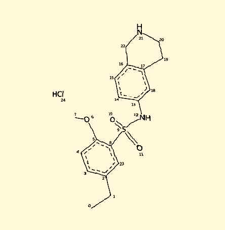 CCc1ccc(OC)c(S(=O)(=O)Nc2ccc3c(c2)CCNC3)c1.Cl